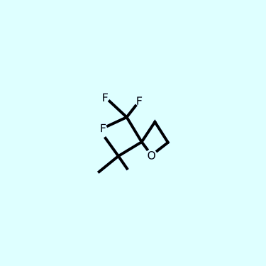 CC(C)(C)C1(C(F)(F)F)CCO1